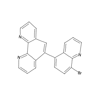 Brc1ccc(-c2cc3cccnc3c3ncccc23)c2cccnc12